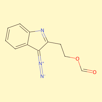 [N-]=[N+]=C1C(CCOC=O)=Nc2ccccc21